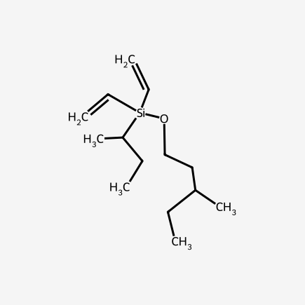 C=C[Si](C=C)(OCCC(C)CC)C(C)CC